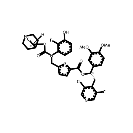 COc1ccc([C@H](Cc2c(Cl)cncc2Cl)OC(=O)c2ccc(CN(C(=O)O[C@H]3CN4CCC3CC4)c3cccc(O)c3F)s2)cc1OC